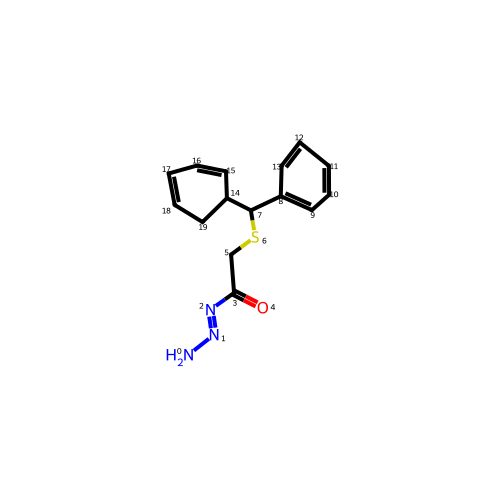 NN=NC(=O)CSC(c1ccccc1)C1C=CC=CC1